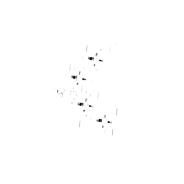 O.O.O=P([O-])(O)O.O=P([O-])(O)O.O=P([O-])(O)O.O=P([O-])(O)O.[Ti+4]